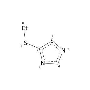 CCSc1ncns1